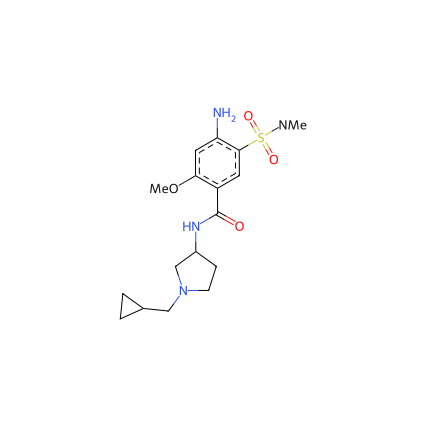 CNS(=O)(=O)c1cc(C(=O)NC2CCN(CC3CC3)C2)c(OC)cc1N